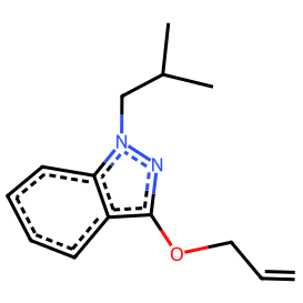 C=CCOc1nn(CC(C)C)c2ccccc12